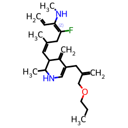 C=C/C(NC)=C(/F)CC(C)=CC1C(=C)C(CC(=C)COCCC)=CNC1C